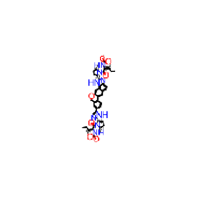 CC[C@H](C)C(NC(=O)OC)C(=O)N1[C@@H](C)CC[C@H]1c1ncc(-c2ccc3c(c2)COc2cc4c(ccc5nc([C@@H]6CC[C@H](C)N6C(=O)[C@@H](NC(=O)OC)[C@@H](C)CC)[nH]c54)cc2-3)[nH]1